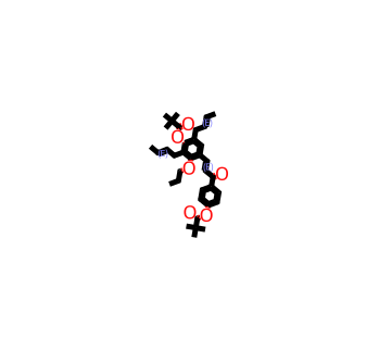 C/C=C/Cc1cc(/C=C/C(=O)c2ccc(OC(=O)C(C)(C)C)cc2)c(OCCC)c(C/C=C/C)c1OC(=O)C(C)(C)C